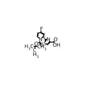 CC(C)(C)OC(=O)N1C=CC(F)=C[C@H]1c1nc(C(=O)O)cs1